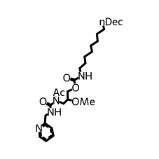 CCCCCCCCCCCCCCCCCCNC(=O)OCC(CN(C(C)=O)C(=O)NCc1ccccn1)OC